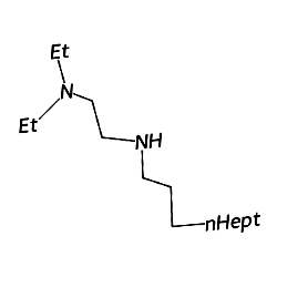 CCCCCCCCCCNCCN(CC)CC